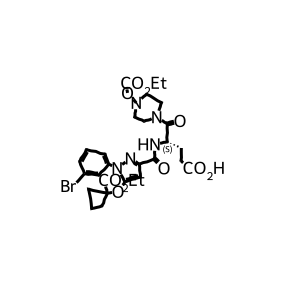 CCOC(=O)ON1CCN(C(=O)[C@H](CCC(=O)O)NC(=O)c2cc(OC3(C(=O)OCC)CCC3)n(-c3cccc(Br)c3)n2)CC1